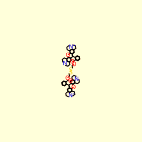 O=C(OCCSSCCOC(=O)c1ccccc1C1=c2cc3c4c(c2Oc2c1cc1c5c2CCCN5CCC1)CCC[N+]=4CCC3)c1ccccc1C1=c2cc3c4c(c2Oc2c1cc1c5c2CCCN5CCC1)CCC[N+]=4CCC3